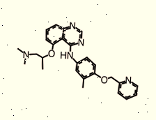 Cc1cc(Nc2ncnc3cccc(OC(C)CN(C)C)c23)ccc1OCc1ccccn1